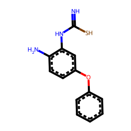 N=C(S)Nc1cc(Oc2ccccc2)ccc1N